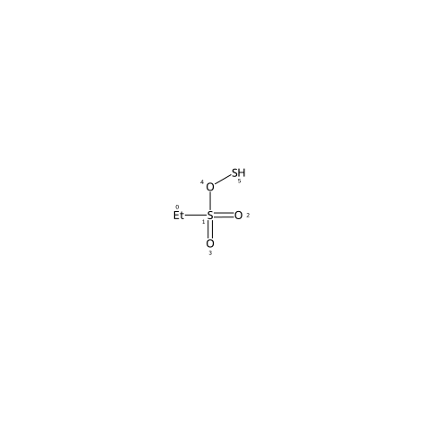 CCS(=O)(=O)OS